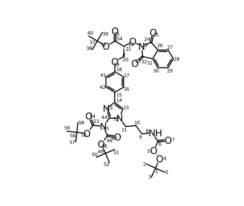 CC(C)(C)OOC(=O)NCCCn1cc(-c2ccc(OC[C@H](ON3C(=O)c4ccccc4C3=O)C(=O)OC(C)(C)C)cc2)nc1N(C(=O)OC(C)(C)C)C(=O)OC(C)(C)C